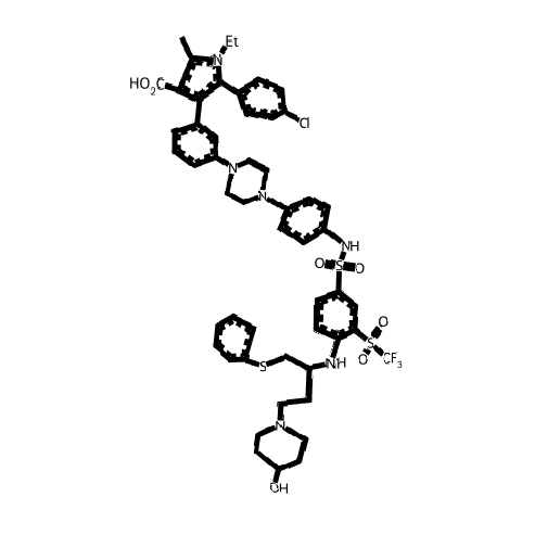 CCn1c(C)c(C(=O)O)c(-c2cccc(N3CCN(c4ccc(NS(=O)(=O)c5ccc(NC(CCN6CCC(O)CC6)CSc6ccccc6)c(S(=O)(=O)C(F)(F)F)c5)cc4)CC3)c2)c1-c1ccc(Cl)cc1